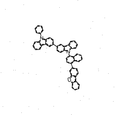 c1ccc(-n2c3ccccc3c3cc(-c4ccc5c(c4)c4ccccc4n5-c4ccc(-c5ccc6c(c5)oc5ccccc56)c5ccccc45)ccc32)cc1